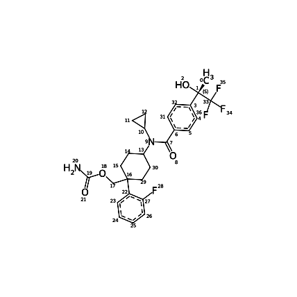 C[C@](O)(c1ccc(C(=O)N(C2CC2)C2CCC(COC(N)=O)(c3ccccc3F)CC2)cc1)C(F)(F)F